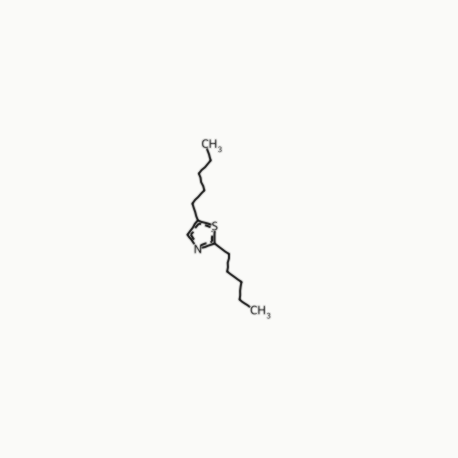 CCCCCc1cnc(CCCCC)s1